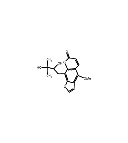 COc1c2ccoc2c(CC(O)C(C)(C)O)c2oc(=O)ccc12